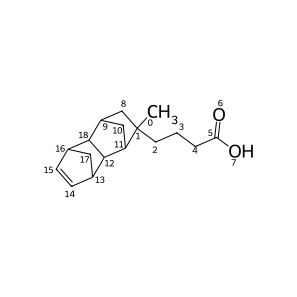 CC1(CCCC(=O)O)CC2CC1C1C3C=CC(C3)C21